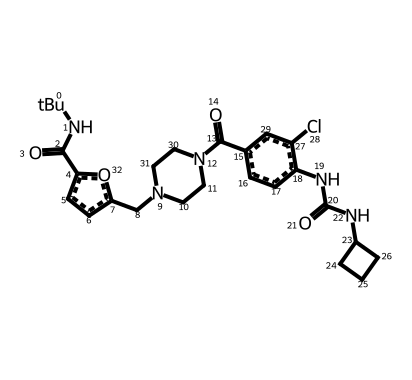 CC(C)(C)NC(=O)c1ccc(CN2CCN(C(=O)c3ccc(NC(=O)NC4CCC4)c(Cl)c3)CC2)o1